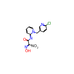 O=C(/N=c1\ccccn1Cc1ccc(Cl)nc1)/C(=N/O)[N+](=O)[O-]